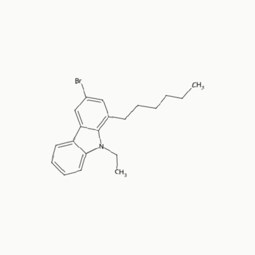 CCCCCCc1cc(Br)cc2c3ccccc3n(CC)c12